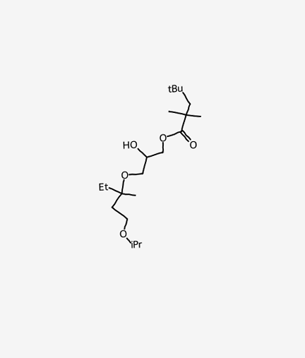 CCC(C)(CCOC(C)C)OCC(O)COC(=O)C(C)(C)CC(C)(C)C